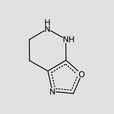 c1nc2c(o1)NNCC2